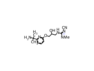 CN/C(=N/C#N)NCC(O)COc1cccc(C(C)(C)N)n1